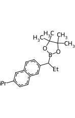 CCC(B1OC(C)(C)C(C)(C)O1)c1ccc2cc(C(C)C)ccc2c1